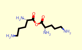 NCCC[C@H](N)C(=O)OC(=O)[C@@H](N)CCCN